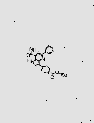 CC(C)(C)OC(=O)N1CCC(c2n[nH]c3c(C(N)=O)cc(-c4ccccc4)nc23)CC1